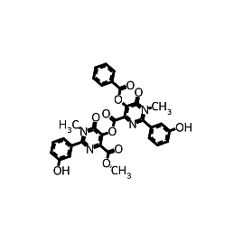 COC(=O)c1nc(-c2cccc(O)c2)n(C)c(=O)c1OC(=O)c1nc(-c2cccc(O)c2)n(C)c(=O)c1OC(=O)c1ccccc1